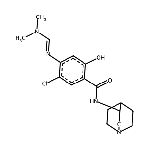 CN(C)/C=N/c1cc(O)c(C(=O)NC2CN3CCC2CC3)cc1Cl